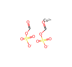 O=COS(=O)(=O)[O-].O=COS(=O)(=O)[O-].[Cu+2]